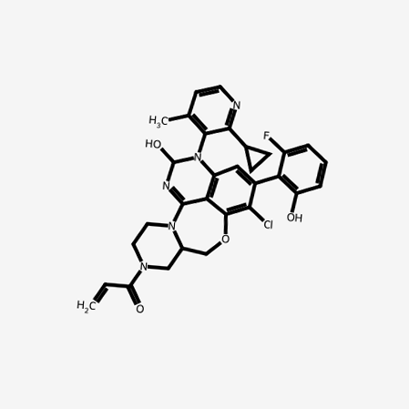 C=CC(=O)N1CCN2C3=NC(O)N(c4c(C)ccnc4C4CC4)c4cc(-c5c(O)cccc5F)c(Cl)c(c43)OCC2C1